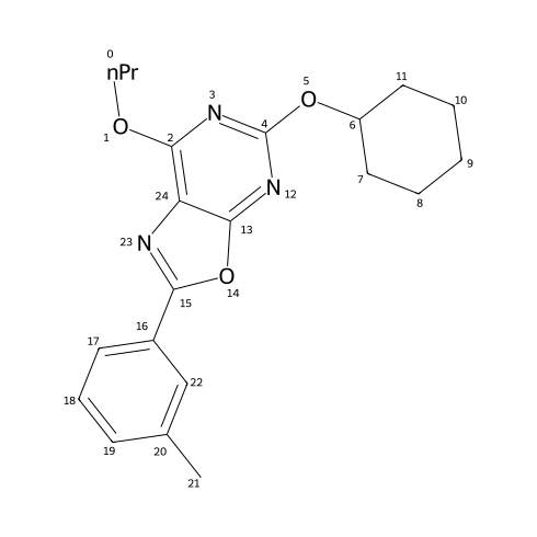 CCCOc1nc(OC2CCCCC2)nc2oc(-c3cccc(C)c3)nc12